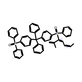 C=C(C)/C(=C\C=C/C)P(=O)(c1ccccc1)c1ccc(C(c2ccccc2)(c2ccccc2)c2ccc(P(=O)(c3ccccc3)c3ccccc3)cc2)cc1